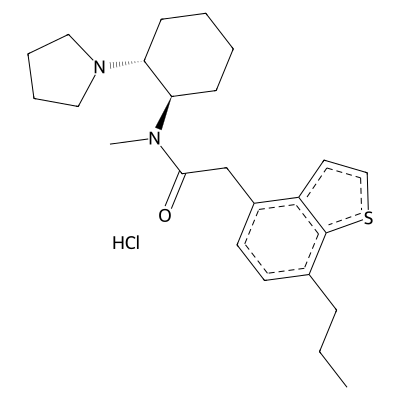 CCCc1ccc(CC(=O)N(C)[C@@H]2CCCC[C@H]2N2CCCC2)c2ccsc12.Cl